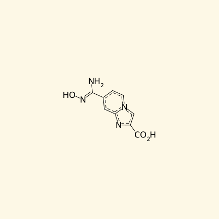 NC(=NO)c1ccn2cc(C(=O)O)nc2c1